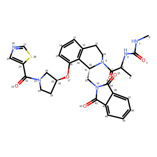 CNC(=O)NC(C)C(=O)N1CCc2cccc(O[C@H]3CCN(C(=O)c4cncs4)C3)c2[C@H]1CN1C(=O)c2ccccc2C1=O